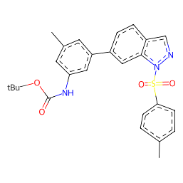 Cc1ccc(S(=O)(=O)n2ncc3ccc(-c4cc(C)cc(NC(=O)OC(C)(C)C)c4)cc32)cc1